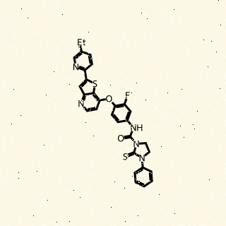 CCc1ccc(-c2cc3nccc(Oc4ccc(NC(=O)N5CCN(c6ccccc6)C5=S)cc4F)c3s2)nc1